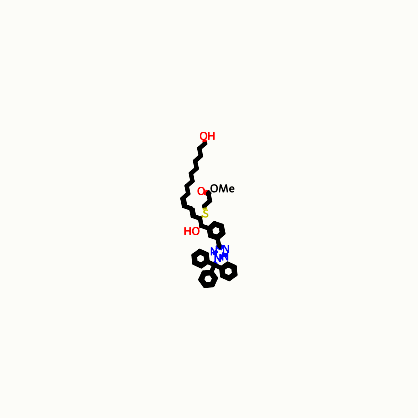 COC(=O)CCS[C@H](/C=C/C=C\CCCCCCCCCO)[C@@H](O)c1cccc(-c2nnn(C(c3ccccc3)(c3ccccc3)c3ccccc3)n2)c1